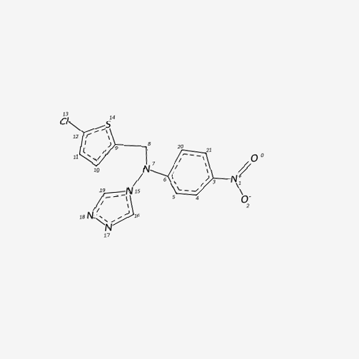 O=[N+]([O-])c1ccc(N(Cc2ccc(Cl)s2)n2cnnc2)cc1